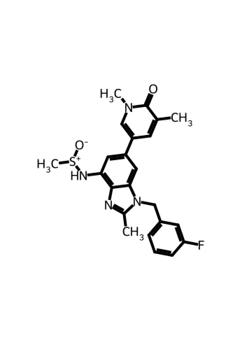 Cc1cc(-c2cc(N[S+](C)[O-])c3nc(C)n(Cc4cccc(F)c4)c3c2)cn(C)c1=O